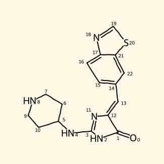 O=C1NC(NC2CCNCC2)=N/C1=C\c1ccc2ncsc2c1